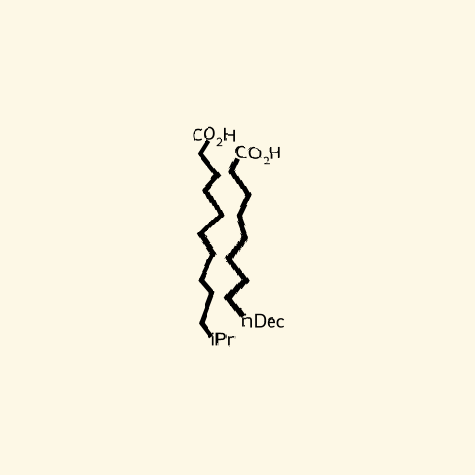 CC(C)CCCCCCCCCC(=O)O.CCCCCCCCCCCCCCCCCC(=O)O